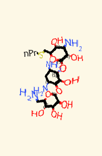 CCCSCC1O[C@H](O[C@H]2C(N)C[C@H](N)C(O[C@H]3OC(CN)[C@@H](O)C(O)C3O)C2O)[C@@H](O)C(N)[C@@H]1O